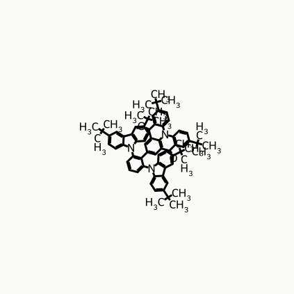 CC(C)(C)c1ccc2c(c1)c(=O)c1cc(-c3c(-n4c5ccc(C(C)(C)C)cc5c5cc(C(C)(C)C)ccc54)cccc3-n3c4ccc(C(C)(C)C)cc4c4cc(C(C)(C)C)ccc43)cc3c(=O)c4cc(C(C)(C)C)ccc4n2c13